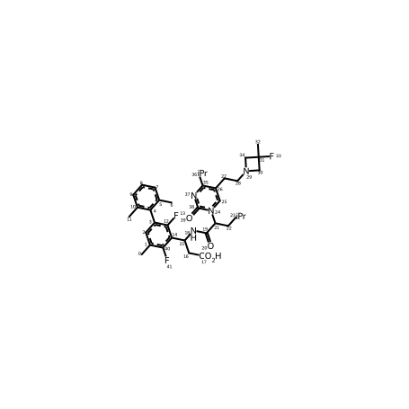 Cc1cc(-c2c(C)cccc2C)c(F)c(C(CC(=O)O)NC(=O)C(CC(C)C)n2cc(CCN3CC(C)(F)C3)c(C(C)C)nc2=O)c1F